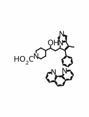 CC1=C(c2ccccc2)C(CC(O)C2CCN(C(=O)O)CC2)n2cncc21.c1cnc2c(c1)ccc1cccnc12